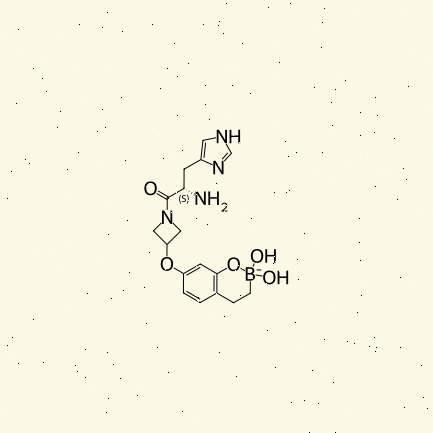 N[C@@H](Cc1c[nH]cn1)C(=O)N1CC(Oc2ccc3c(c2)O[B-](O)(O)CC3)C1